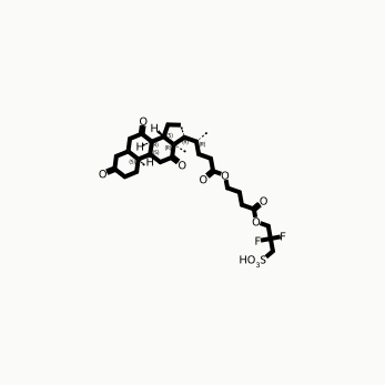 C[C@H](CCC(=O)OCCCC(=O)OCC(F)(F)CS(=O)(=O)O)[C@H]1CC[C@H]2[C@@H]3C(=O)CC4CC(=O)CC[C@]4(C)[C@H]3CC(=O)[C@]12C